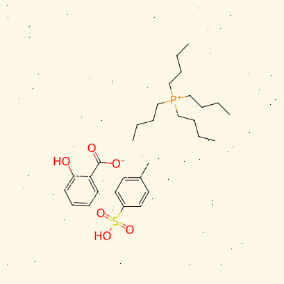 CCCC[P+](CCCC)(CCCC)CCCC.Cc1ccc(S(=O)(=O)O)cc1.O=C([O-])c1ccccc1O